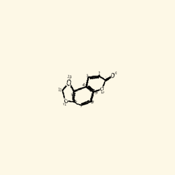 O=c1ccc2c3c(ccc2o1)OCO3